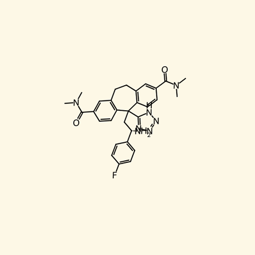 CN(C)C(=O)c1ccc2c(c1)CCc1cc(C(=O)N(C)C)ccc1C2(C[C@H](N)c1ccc(F)cc1)c1nnn[nH]1